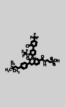 CC(C)(C)CCc1ccc(C(Cc2ccc(C(=O)NCCS(=O)(=O)O)cc2)C(=O)Nc2ccc(-c3ccc(C(F)(F)F)cc3Cl)cc2OC(F)(F)F)cc1